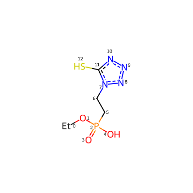 CCOP(=O)(O)CCn1nnnc1S